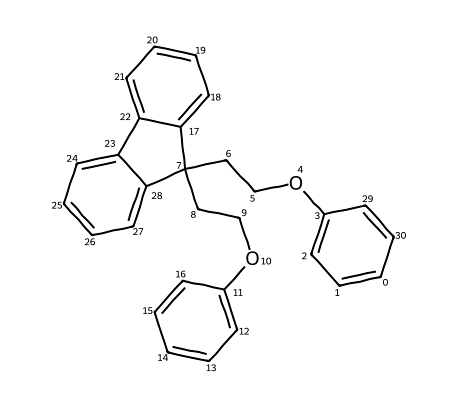 c1ccc(OCCC2(CCOc3ccccc3)c3ccccc3-c3ccccc32)cc1